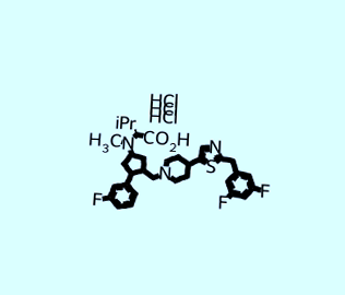 CC(C)[C@H](C(=O)O)N(C)C1CC(CN2CCC(c3cnc(Cc4cc(F)cc(F)c4)s3)CC2)C(c2cccc(F)c2)C1.Cl.Cl.Cl